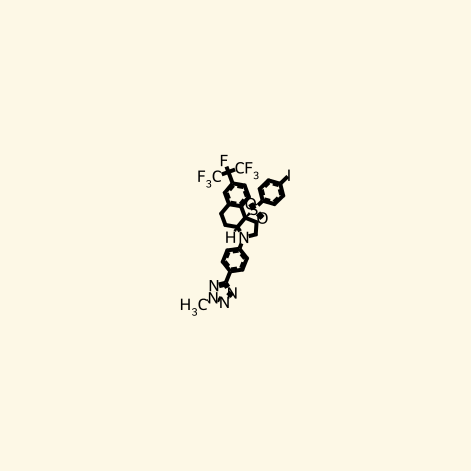 Cn1nnc(-c2ccc(N3CC[C@@]4(S(=O)(=O)c5ccc(I)cc5)c5ccc(C(F)(C(F)(F)F)C(F)(F)F)cc5CC[C@@H]34)cc2)n1